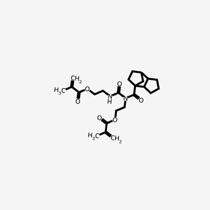 C=C(C)C(=O)OCCNC(=O)N(CCOC(=O)C(=C)C)C(=O)C12CCC(C1)C1CCCC12